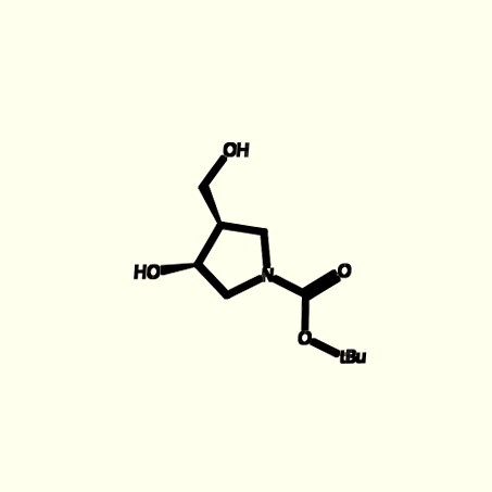 CC(C)(C)OC(=O)N1C[C@H](CO)[C@H](O)C1